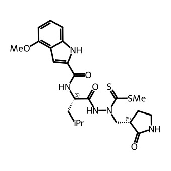 COc1cccc2[nH]c(C(=O)N[C@@H](CC(C)C)C(=O)NN(C[C@@H]3CCNC3=O)C(=S)SC)cc12